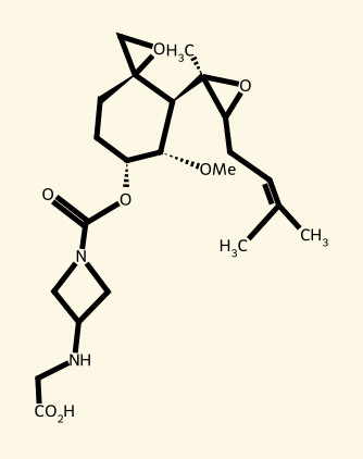 CO[C@@H]1[C@H](OC(=O)N2CC(NCC(=O)O)C2)CC[C@]2(CO2)[C@H]1[C@@]1(C)OC1CC=C(C)C